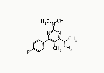 Cc1c(-c2ccc(F)cc2)nc(N(C)C)nc1C(C)C